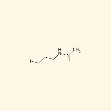 CNNCCCI